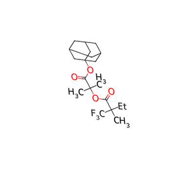 CCC(C)(C(=O)OC(C)(C)C(=O)OC12CC3CC(CC(C3)C1)C2)C(F)(F)F